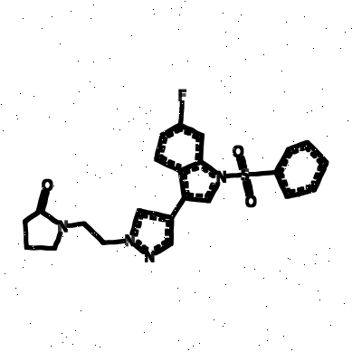 O=C1CCCN1CCn1cc(-c2cn(S(=O)(=O)c3ccccc3)c3cc(F)ccc23)cn1